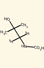 [2H]C([2H])(NC(=O)O)C(C)(C)O